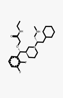 CCNC(=O)CO[C@@H](c1cccc(F)c1F)[C@@H]1CCCN([C@H](CNC)CC2CCCCC2)C1